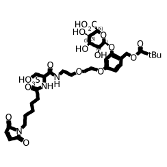 CC(C)(C)C(=O)OCc1ccc(OCCOCCNC(=O)C(CS(=O)(=O)O)NC(=O)CCCCCN2C(=O)C=CC2=O)cc1O[C@@H]1O[C@H](C(=O)O)[C@@H](O)[C@H](O)[C@H]1O